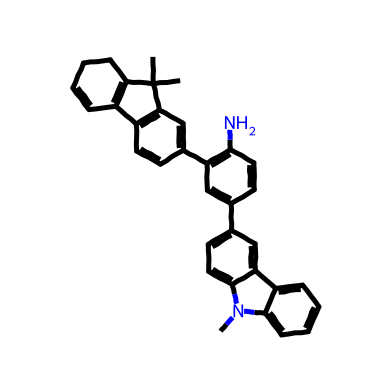 Cn1c2ccccc2c2cc(-c3ccc(N)c(-c4ccc5c(c4)C(C)(C)C4=C5C=CCC4)c3)ccc21